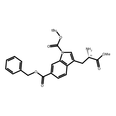 COC(=O)[C@@H](N)Cc1cn(C(=O)OC(C)(C)C)c2cc(C(=O)OCc3ccccc3)ccc12